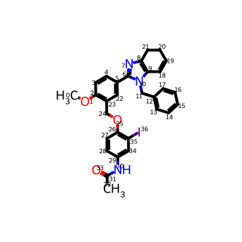 COc1ccc(-c2nc3c(n2Cc2ccccc2)C=CCC3)cc1COc1ccc(NC(C)=O)cc1I